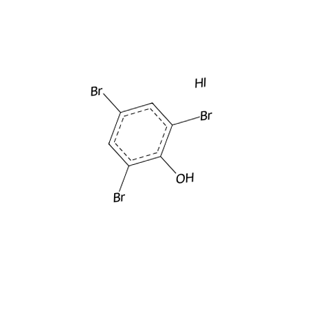 I.Oc1c(Br)cc(Br)cc1Br